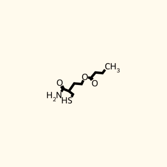 CCCC(=O)OCCC(CS)C(N)=O